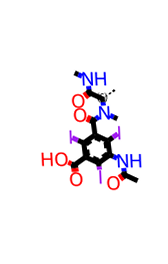 CNC(=O)[C@H](C)N(C)C(=O)c1c(I)c(NC(C)=O)c(I)c(C(=O)O)c1I